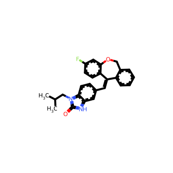 CC(C)Cn1c(=O)[nH]c2cc(/C=C3/c4ccccc4COc4cc(F)ccc43)ccc21